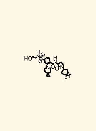 O=C(NC1CCN(C2CCC(F)(F)CC2)C1=O)c1ccc(S(=O)(=O)NCCO)cc1N1CCC2(CC1)CC2